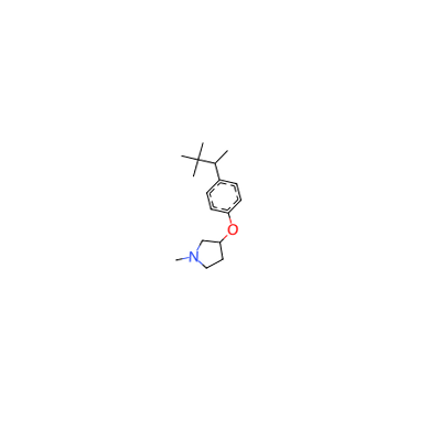 CC(c1ccc(OC2CCN(C)C2)cc1)C(C)(C)C